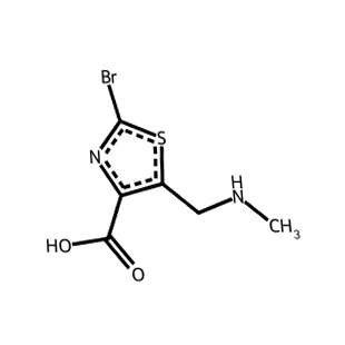 CNCc1sc(Br)nc1C(=O)O